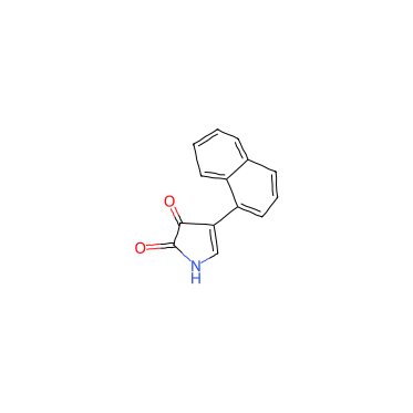 O=C1NC=C(c2cccc3ccccc23)C1=O